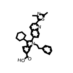 Cc1nc(C)c(-c2ccc3cc(-c4c(C5CCCCC5)c5ccc(C(=O)O)cc5n4CCc4ccccc4)ccc3n2)s1